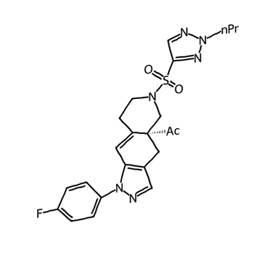 CCCn1ncc(S(=O)(=O)N2CCC3=Cc4c(cnn4-c4ccc(F)cc4)C[C@]3(C(C)=O)C2)n1